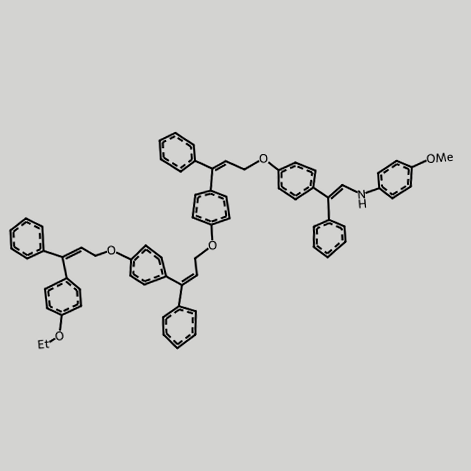 CCOc1ccc(/C(=C\COc2ccc(/C(=C\COc3ccc(/C(=C\COc4ccc(C(=CNc5ccc(OC)cc5)c5ccccc5)cc4)c4ccccc4)cc3)c3ccccc3)cc2)c2ccccc2)cc1